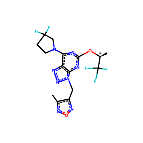 Cc1nonc1Cn1nnc2c(N3CCC(F)(F)C3)nc(O[C@@H](C)C(F)(F)F)nc21